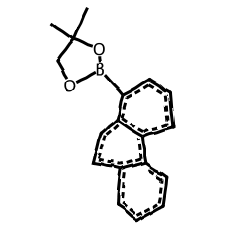 CC1(C)COB(c2cccc3c2ccc2ccccc23)O1